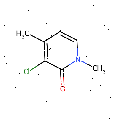 Cc1ccn(C)c(=O)c1Cl